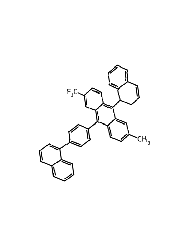 Cc1ccc2c(-c3ccc(-c4cccc5ccccc45)cc3)c3cc(C(F)(F)F)ccc3c(C3CC=Cc4ccccc43)c2c1